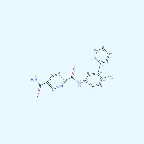 NC(=O)c1ccc(C(=O)Nc2ccc(Cl)c(-c3ccccn3)c2)nc1